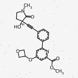 COC(=O)c1cc(OC2COC2)cc(-c2cccc(C#C[C@]3(O)CCN(C)C3=O)c2)n1